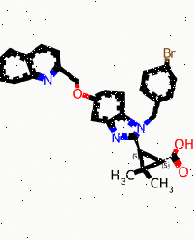 CC1(C)[C@@H](C(=O)O)[C@@H]1c1nc2cc(OCc3ccc4ccccc4n3)ccc2n1Cc1ccc(Br)cc1